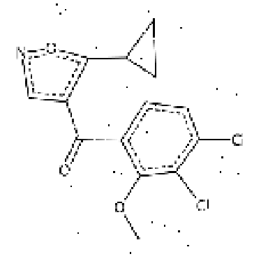 COc1c(C(=O)c2cnoc2C2CC2)ccc(Cl)c1Cl